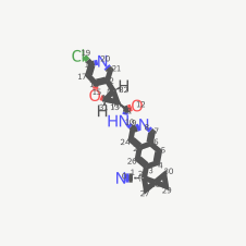 N#C[C@@]1(c2ccc3cnc(NC(=O)[C@H]4[C@H]5Oc6cc(Cl)ncc6[C@H]54)cc3c2)CC12CC2